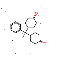 CC(c1ccccc1)(C1CCC(=O)CC1)C1CCC(=O)CC1